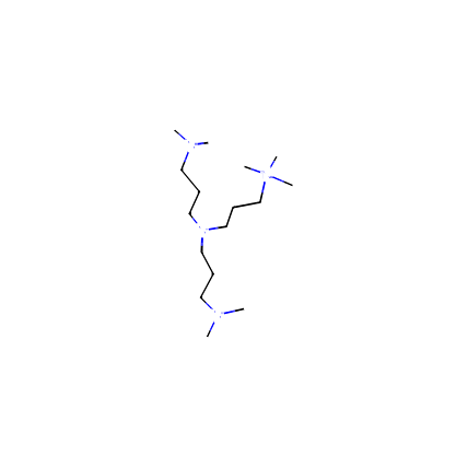 CN(C)CCCN(CCCN(C)C)CCC[N+](C)(C)C